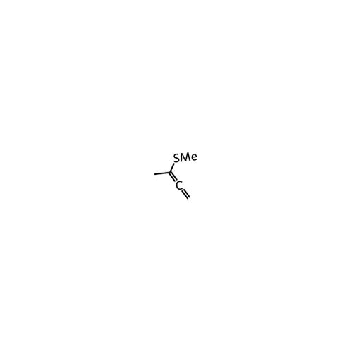 C=C=C(C)SC